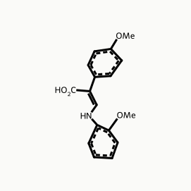 COc1ccc(C(=CNc2ccccc2OC)C(=O)O)cc1